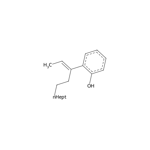 CC=C(CCCCCCCCC)c1ccccc1O